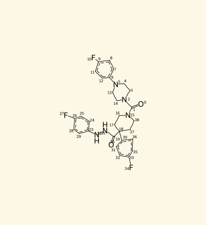 O=C(N1CCN(c2ccc(F)cc2)CC1)N1CCC(C(=O)NNc2ccc(F)cc2)(c2ccc(F)cc2)CC1